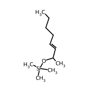 CCCCC=CC(C)O[Si](C)(C)C